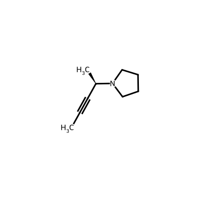 CC#C[C@@H](C)N1CCCC1